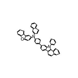 c1ccc(-n2c3cc(-c4ccc(N(c5ccc6ccccc6c5)c5ccc6oc7ccccc7c6c5)cc4)ccc3c3ccc4ccccc4c32)cc1